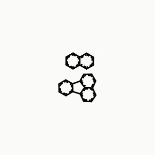 c1ccc2c(c1)-c1cccc3cccc-2c13.c1ccc2ccccc2c1